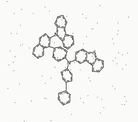 c1ccc(-c2ccc(N(c3ccc(-c4c(-n5c6ccccc6c6ccccc65)ccc5ccccc45)cc3)c3ccc4sc5ccccc5c4c3)cc2)cc1